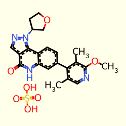 COc1ncc(C)c(-c2ccc3c(c2)[nH]c(=O)c2cnn([C@H]4CCOC4)c23)c1C.O=S(=O)(O)O